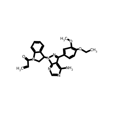 C=CC(=O)N1CC(n2nc(-c3ccc(OCC)c(OC)c3)c3c(N)ncnc32)c2ccccc21